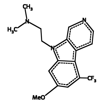 COc1cc(C(F)(F)F)c2c3ccncc3n(CCN(C)C)c2c1